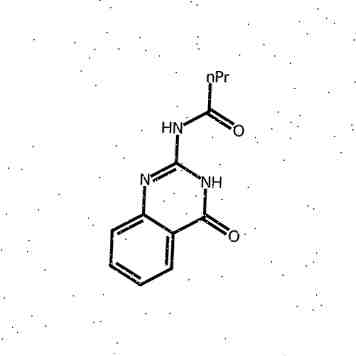 CCCC(=O)Nc1nc2ccccc2c(=O)[nH]1